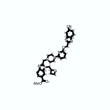 COC(=O)c1ccc2nc(CN3CCN(c4cccc(OCc5nc6ccc(C#N)cc6s5)n4)CC3)n(CC3CCO3)c2c1